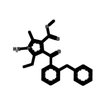 CCc1c(C(=O)c2ccccc2Cc2ccccc2)c(C(=O)OC)c(C)n1N